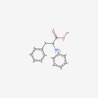 COC(=O)C(N)Cc1ccccc1.c1ccccc1